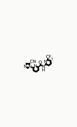 N#Cc1cncn1-c1cccc(C(=O)Nc2cccc(C(F)(F)F)n2)n1